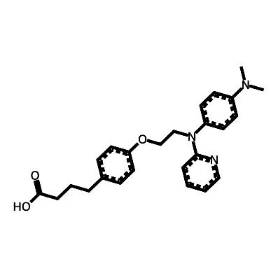 CN(C)c1ccc(N(CCOc2ccc(CCCC(=O)O)cc2)c2ccccn2)cc1